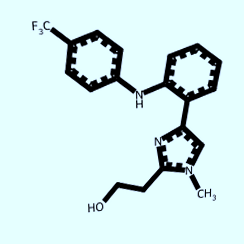 Cn1cc(-c2ccccc2Nc2ccc(C(F)(F)F)cc2)nc1CCO